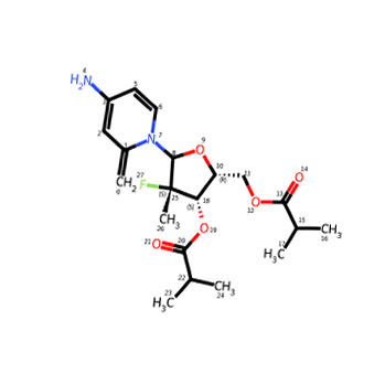 C=C1C=C(N)C=CN1C1O[C@H](COC(=O)C(C)C)[C@H](OC(=O)C(C)C)[C@]1(C)F